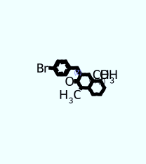 CC1C(=O)/C(=C\c2ccc(Br)cc2)C[C@@]2(C)C1CCC[C@@H]2O